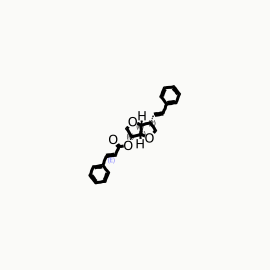 O=C(/C=C/c1ccccc1)O[C@@H]1CO[C@H]2[C@@H]1OC[C@H]2C=Cc1ccccc1